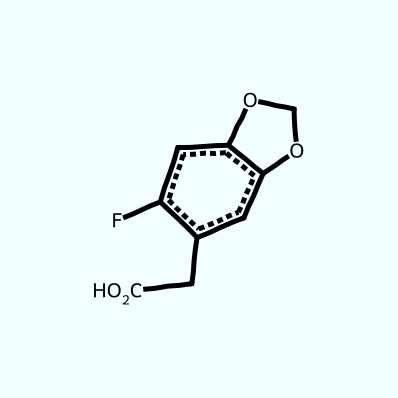 O=C(O)Cc1cc2c(cc1F)OCO2